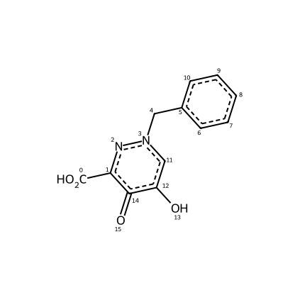 O=C(O)c1nn(Cc2ccccc2)cc(O)c1=O